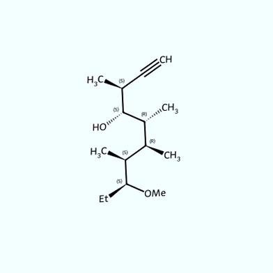 C#C[C@H](C)[C@@H](O)[C@H](C)[C@@H](C)[C@H](C)[C@H](CC)OC